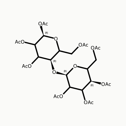 CC(=O)OCC1O[C@H](O[C@@H]2C(COC(C)=O)O[C@H](OC(C)=O)C(OC(C)=O)C2OC(C)=O)C(OC(C)=O)C(OC(C)=O)[C@@H]1OC(C)=O